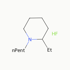 CCCCCN1CCCCC1CC.F